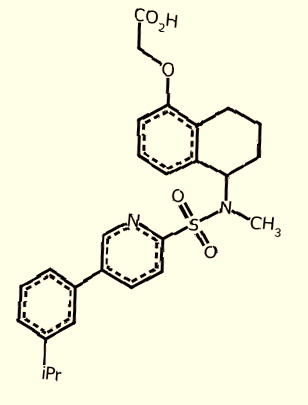 CC(C)c1cccc(-c2ccc(S(=O)(=O)N(C)C3CCCc4c(OCC(=O)O)cccc43)nc2)c1